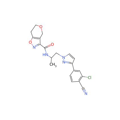 CC(Cn1ccc(-c2ccc(C#N)c(Cl)c2)n1)NC(=O)c1noc2c1COCC2